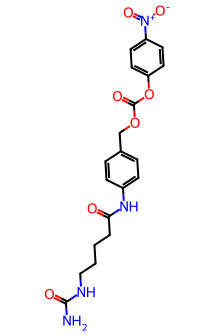 NC(=O)NCCCCC(=O)Nc1ccc(COC(=O)Oc2ccc([N+](=O)[O-])cc2)cc1